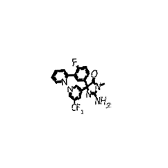 CN1C(=O)C(c2cncc(C(F)(F)F)c2)(c2ccc(F)c(-c3ccccn3)c2)N=C1N